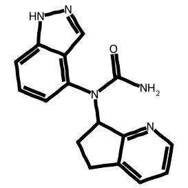 NC(=O)N(c1cccc2[nH]ncc12)C1CCc2cccnc21